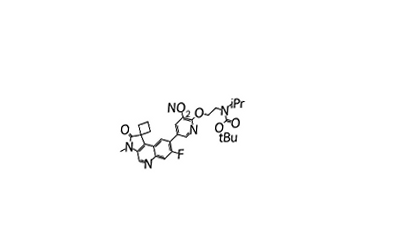 CC(C)N(CCOc1ncc(-c2cc3c4c(cnc3cc2F)N(C)C(=O)C42CCC2)cc1[N+](=O)[O-])C(=O)OC(C)(C)C